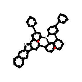 c1ccc(-c2cccc(N(c3ccccc3-c3ccc4oc5cc6ccccc6cc5c4c3)c3ccc(-c4ccccc4)cc3-c3ccccc3)c2)cc1